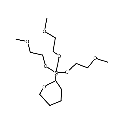 COCCO[Si](OCCOC)(OCCOC)C1CCCCO1